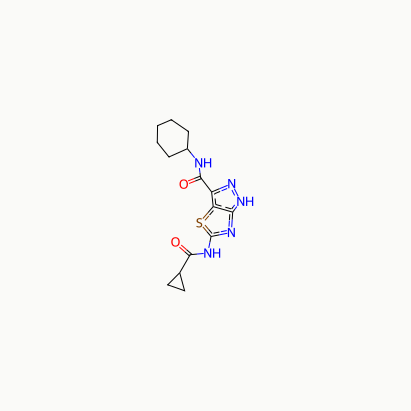 O=C(NC1CCCCC1)c1n[nH]c2nc(NC(=O)C3CC3)sc12